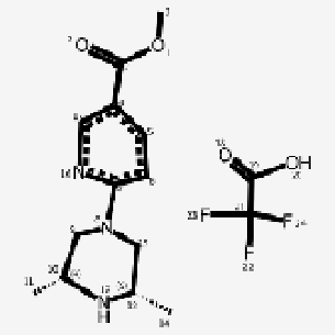 COC(=O)c1ccc(N2C[C@@H](C)N[C@@H](C)C2)nc1.O=C(O)C(F)(F)F